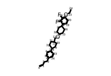 C=CCCc1ccc(C2CCC(COC3CCC(c4ccc(OCC)c(F)c4F)CC3)CC2)cc1